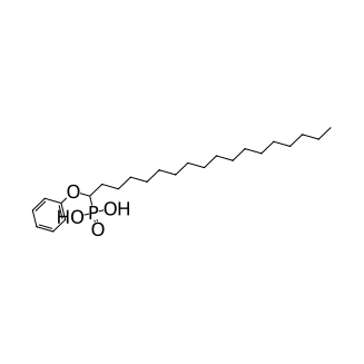 CCCCCCCCCCCCCCCCCC(Oc1ccccc1)P(=O)(O)O